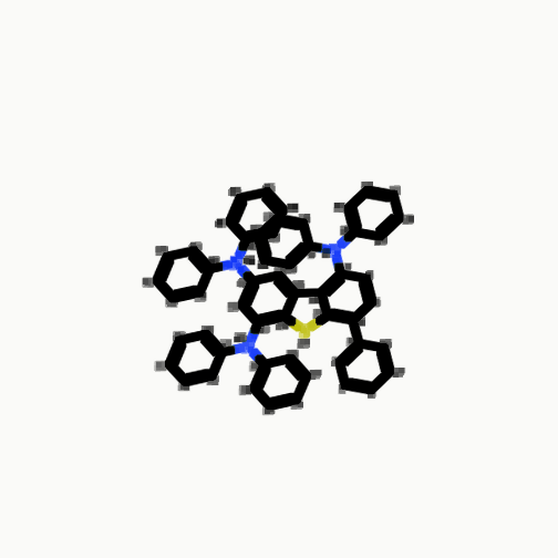 c1ccc(-c2ccc(N(c3ccccc3)c3ccccc3)c3c2sc2c(N(c4ccccc4)c4ccccc4)cc(N(c4ccccc4)c4ccccc4)cc23)cc1